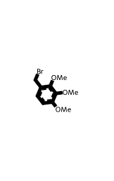 COc1ccc(CBr)c(OC)c1OC